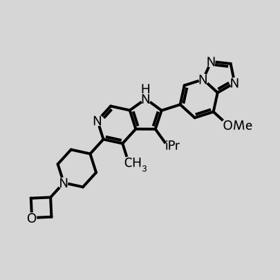 COc1cc(-c2[nH]c3cnc(C4CCN(C5COC5)CC4)c(C)c3c2C(C)C)cn2ncnc12